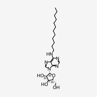 CCCCCCCCCCCCNc1ncnc2c1ncn2[C@@H]1O[C@H](CO)[C@@H](O)[C@H]1O